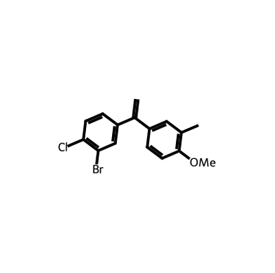 C=C(c1ccc(OC)c(C)c1)c1ccc(Cl)c(Br)c1